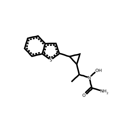 CC(C1CC1c1cc2ccccc2s1)N(O)C(N)=O